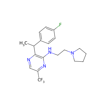 CC(c1ccc(F)cc1)c1ncc(C(F)(F)F)nc1NCCN1CCCC1